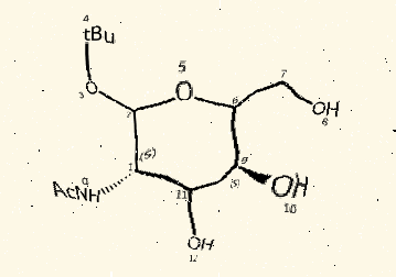 CC(=O)N[C@@H]1C(OC(C)(C)C)OC(CO)[C@@H](O)C1O